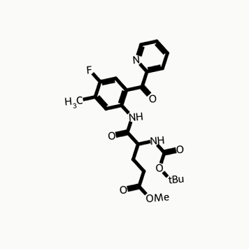 COC(=O)CCC(NC(=O)OC(C)(C)C)C(=O)Nc1cc(C)c(F)cc1C(=O)c1ccccn1